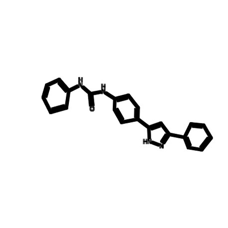 O=C(Nc1ccccc1)Nc1ccc(-c2cc(-c3ccccc3)n[nH]2)cc1